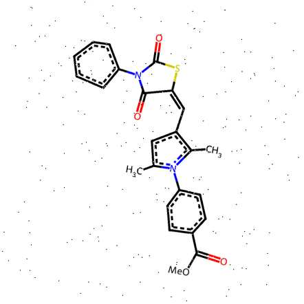 COC(=O)c1ccc(-n2c(C)cc(C=C3SC(=O)N(c4ccccc4)C3=O)c2C)cc1